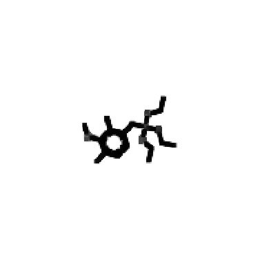 CCO[Si](Cc1ccc(C)c(OC)c1C)(OCC)OCC